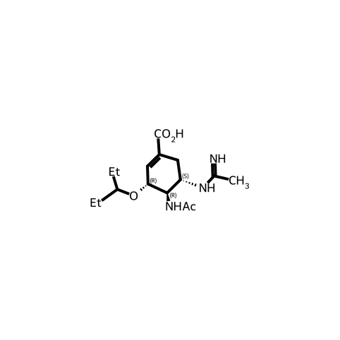 CCC(CC)O[C@@H]1C=C(C(=O)O)C[C@H](NC(C)=N)[C@H]1NC(C)=O